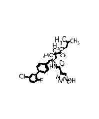 CC(C)COC(=O)[C@](C)(O)CN(Cc1ccc(-c2cc(Cl)ccc2F)cc1)NC(=O)c1cn(O)nn1